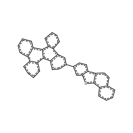 c1ccc2c(c1)ccc1c3ccc(-c4ccc5c(c4)c4ccccc4c4c6ccccc6c6ccccc6c54)cc3oc21